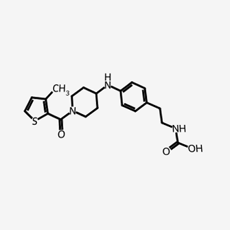 Cc1ccsc1C(=O)N1CCC(Nc2ccc(CCNC(=O)O)cc2)CC1